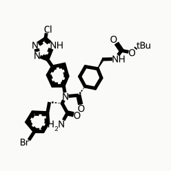 CC(C)(C)OC(=O)NC[C@H]1CC[C@H](C(=O)N(c2ccc(-c3nnc(Cl)[nH]3)cc2)[C@@H](Cc2ccc(Br)cc2)C(N)=O)CC1